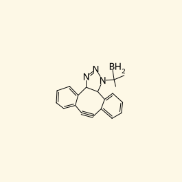 BC(C)(C)N1N=NC2c3ccccc3C#Cc3ccccc3C21